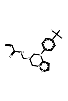 C=CC(=O)NC[C@H]1CN(c2ccc(C(F)(F)F)cc2)c2ccnn2C1